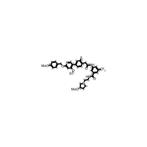 CCOc1cc(OCc2ccc(OC)cc2)ncc1-c1ccc(CC(=O)Nc2cc(C(=O)NCCN3CC[C@H](OC)C3)cc(C(F)(F)F)c2)c(F)c1